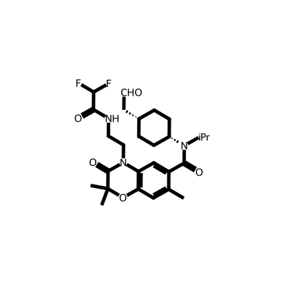 Cc1cc2c(cc1C(=O)N(C(C)C)[C@H]1CC[C@@H](CC=O)CC1)N(CCNC(=O)C(F)F)C(=O)C(C)(C)O2